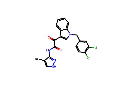 N#Cc1c[nH]nc1NC(=O)C(=O)c1cn(Cc2ccc(Cl)c(Cl)c2)c2ccccc12